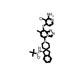 Cc1cc(N2CCC3(CC2)Cc2ccccc2[C@H]3N[S@+]([O-])C(C)(C)C)n2cnnc2c1Sc1ccnc(N)c1Cl